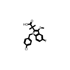 CSc1c(C(C)(C)C(=O)O)n(Cc2ccc(Cl)cc2)c2ccc(F)cc12